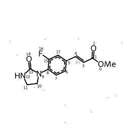 COC(=O)/C=C/c1ccc(N2CCNC2=O)c(F)c1